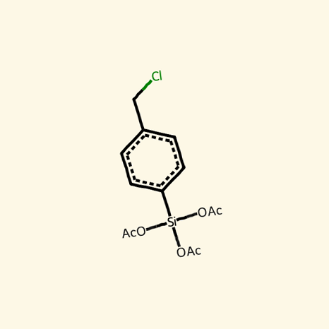 CC(=O)O[Si](OC(C)=O)(OC(C)=O)c1ccc(CCl)cc1